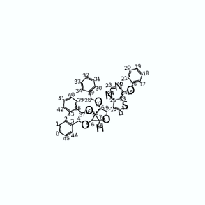 c1ccc(COC2[C@H]3O[C@@H](c4csc5c(Oc6ccccc6)ncnc45)[C@H](OCc4ccccc4)[C@@]23OCc2ccccc2)cc1